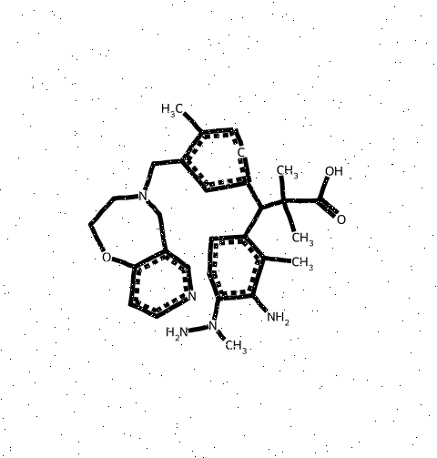 Cc1ccc(C(c2ccc(N(C)N)c(N)c2C)C(C)(C)C(=O)O)cc1CN1CCOc2ccncc2C1